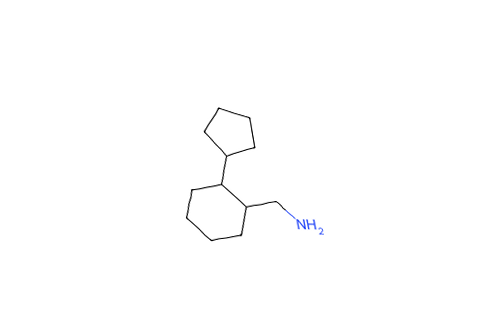 NCC1CCCCC1C1CCCC1